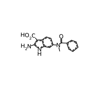 CN(C(=O)c1ccccc1)c1ccc2c(C(=O)O)c(N)[nH]c2c1